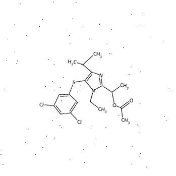 CCn1c(C(C)OC(C)=O)nc(C(C)C)c1Sc1cc(Cl)cc(Cl)c1